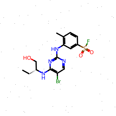 CC[C@H](CO)Nc1nc(Nc2cc(S(=O)(=O)F)ccc2C)ncc1Br